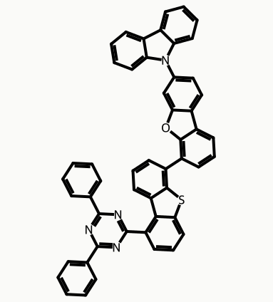 c1ccc(-c2nc(-c3ccccc3)nc(-c3cccc4sc5c(-c6cccc7c6oc6cc(-n8c9ccccc9c9ccccc98)ccc67)cccc5c34)n2)cc1